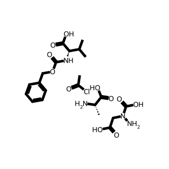 CC(=O)Cl.CC(C)[C@H](NC(=O)OCc1ccccc1)C(=O)O.C[C@H](N)C(=O)O.NN(CC(=O)O)C(=O)O